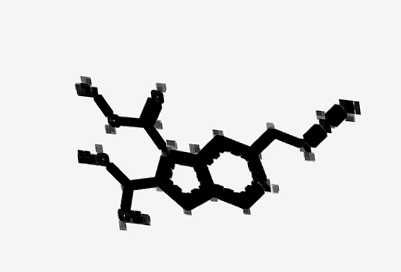 COC(OC)c1cc2cnc(CN=[N+]=N)cc2n1C(=O)OC(C)(C)C